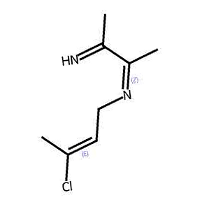 CC(=N)/C(C)=N\C/C=C(\C)Cl